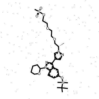 C[C@@H](COCCOCCOS(C)(=O)=O)n1cc(-c2nn(C3CCCCO3)c3ccc(O[Si](C)(C)C(C)(C)C)cc23)cn1